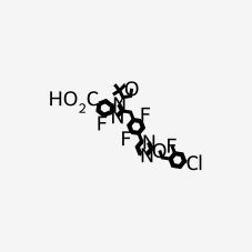 CC1(C)COC[C@H]1n1c(Cc2cc(F)c(-c3ccnc(OCc4ccc(Cl)cc4F)n3)cc2F)nc2c(F)cc(C(=O)O)cc21